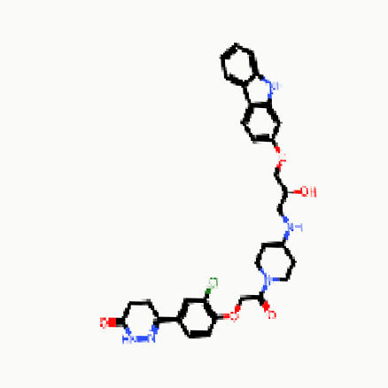 O=C1CCC(c2ccc(OCC(=O)N3CCC(NC[C@H](O)COc4ccc5c(c4)[nH]c4ccccc45)CC3)c(Cl)c2)=NN1